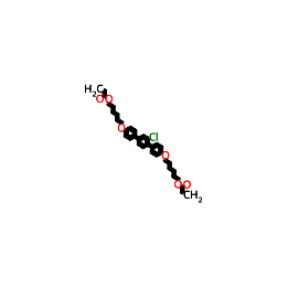 C=CC(=O)OCCCCCCOc1ccc(-c2ccc(-c3ccc(OCCCCCCOC(=O)C=C)cc3)c(Cl)c2)cc1